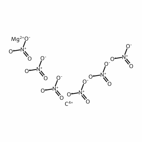 O=[N+]([O-])[O-].O=[N+]([O-])[O-].O=[N+]([O-])[O-].O=[N+]([O-])[O-].O=[N+]([O-])[O-].O=[N+]([O-])[O-].[C+4].[Mg+2]